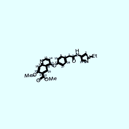 CCn1cc(NC(=O)Cc2ccc(Oc3ccnc4cc(OC)c(C(=O)OC)cc34)cc2)cn1